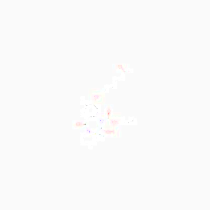 C=CCOC(=O)N1c2cc(OCCCCCC(C)=O)c(C)cc2C(=O)N2CCCC[C@H]2C1O